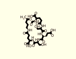 CC(=O)CCCNC(=O)CCC(NC(=O)C(CO)NC(=O)[C@H](CCC(=O)O)NC(=O)C(CO)NC(=O)CCC(NC=O)C(=O)O)C(=O)O